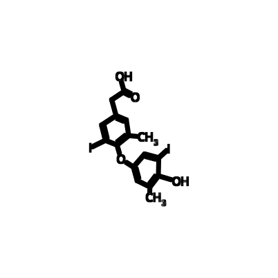 Cc1cc(Oc2c(C)cc(CC(=O)O)cc2I)cc(I)c1O